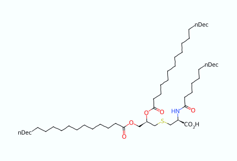 CCCCCCCCCCCCCCCCCCCCCC(=O)OC[C@H](CSC[C@@H](NC(=O)CCCCCCCCCCCCCCC)C(=O)O)OC(=O)CCCCCCCCCCCCCCCCCCCCC